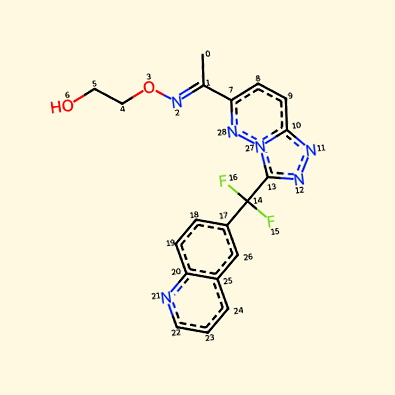 CC(=NOCCO)c1ccc2nnc(C(F)(F)c3ccc4ncccc4c3)n2n1